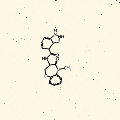 CN1C(=O)C(NC(=O)C2C=CC=C3NNCC32)COc2ccccc21